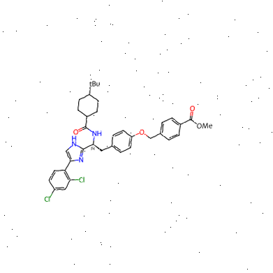 COC(=O)c1ccc(COc2ccc(C[C@H](NC(=O)C3CCC(C(C)(C)C)CC3)c3nc(-c4ccc(Cl)cc4Cl)c[nH]3)cc2)cc1